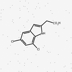 O=C(O)Cc1cc2cc(Cl)cc(Cl)c2[nH]1